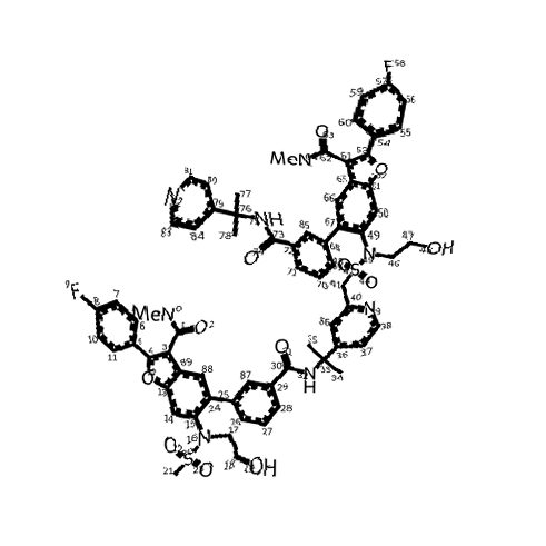 CNC(=O)c1c(-c2ccc(F)cc2)oc2cc(N(CCO)S(C)(=O)=O)c(-c3cccc(C(=O)NC(C)(C)c4ccnc(CS(=O)(=O)N(CCO)c5cc6oc(-c7ccc(F)cc7)c(C(=O)NC)c6cc5-c5cccc(C(=O)NC(C)(C)c6ccncc6)c5)c4)c3)cc12